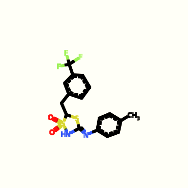 Cc1ccc(N=C2NS(=O)(=O)C(Cc3cccc(C(F)(F)F)c3)S2)cc1